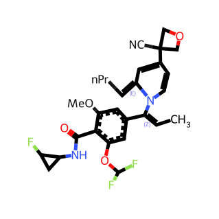 C/C=C(/c1cc(OC)c(C(=O)NC2CC2F)c(OC(F)F)c1)N1C=CC(C2(C#N)COC2)=C/C1=C\CCC